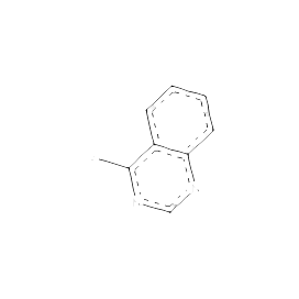 Brc1ncnc2ccccc12